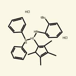 CC1=C(C)C(C)[C]([Hf]([NH]c2ccccc2C(C)(C)C)[SiH](c2ccccc2)c2ccccc2)=C1C.Cl.Cl